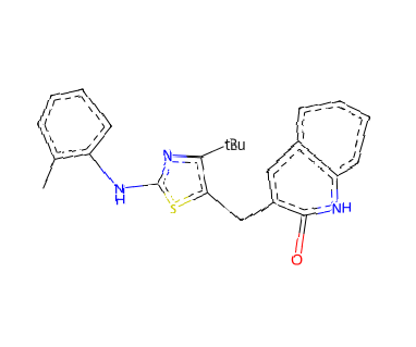 Cc1ccccc1Nc1nc(C(C)(C)C)c(Cc2cc3ccccc3[nH]c2=O)s1